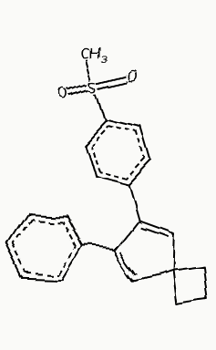 CS(=O)(=O)c1ccc(C2=CC3(C=C2c2ccccc2)CCC3)cc1